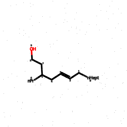 CCCCCCCC/C=C/CC(CCC)CCO